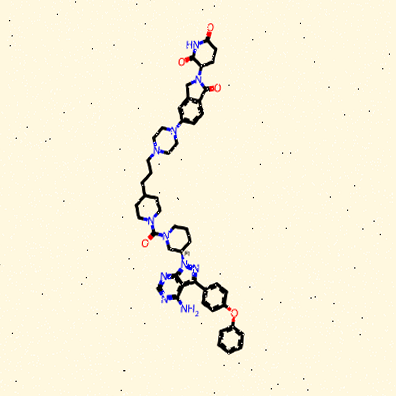 Nc1ncnc2c1c(-c1ccc(Oc3ccccc3)cc1)nn2[C@@H]1CCCN(C(=O)N2CCC(CCCN3CCN(c4ccc5c(c4)CN(C4CCC(=O)NC4=O)C5=O)CC3)CC2)C1